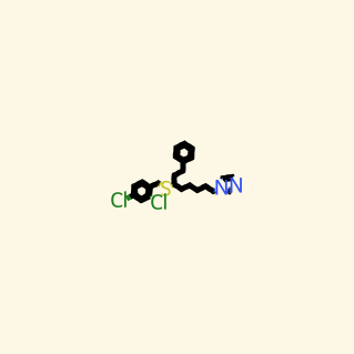 Clc1ccc(CSC(CCCCCn2ccnc2)CCc2ccccc2)c(Cl)c1